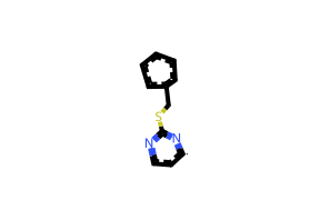 [c]1ccnc(SCc2ccccc2)n1